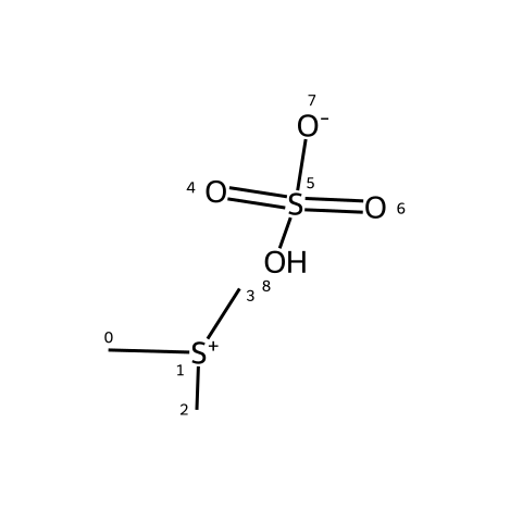 C[S+](C)C.O=S(=O)([O-])O